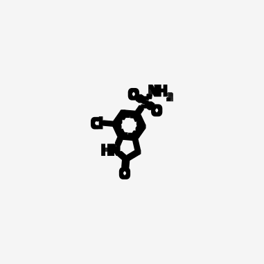 NS(=O)(=O)c1cc(Cl)c2c(c1)CC(=O)N2